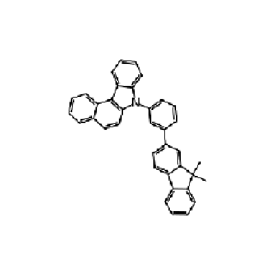 CC1(C)c2ccccc2-c2ccc(-c3cccc(-n4c5ccccc5c5c6ccccc6ccc54)c3)cc21